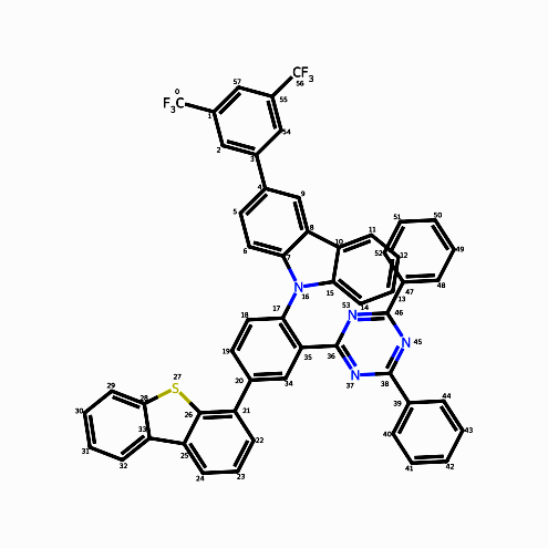 FC(F)(F)c1cc(-c2ccc3c(c2)c2ccccc2n3-c2ccc(-c3cccc4c3sc3ccccc34)cc2-c2nc(-c3ccccc3)nc(-c3ccccc3)n2)cc(C(F)(F)F)c1